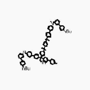 CCCCc1ccc(-c2cccc(N(C)c3ccc(-c4ccc(C(C)(C)c5ccc(C(C)(C)c6ccc(C(CC(C)C)(c7ccc(-c8ccc(C)cc8)cc7)c7ccc(-c8ccc(N(C)c9cccc(-c%10ccc(CCCC)cc%10)c9)cc8)cc7)cc6)cc5)cc4)cc3)c2)cc1